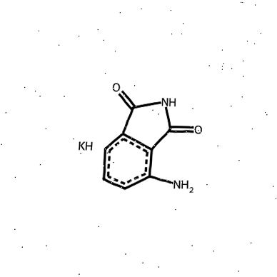 Nc1cccc2c1C(=O)NC2=O.[KH]